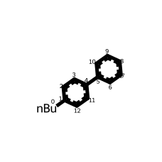 CCCCc1ccc(-c2c[c]ccc2)cc1